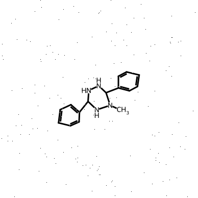 CN1NC(c2ccccc2)NNC1c1ccccc1